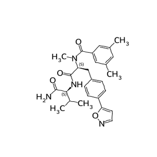 Cc1cc(C)cc(C(=O)N(C)[C@@H](Cc2ccc(-c3ccno3)cc2)C(=O)N[C@H](C(N)=O)C(C)C)c1